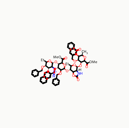 CCC1O[C@@H](O[C@@H]2C(C(=O)OC)O[C@H](C)C(OC(=O)c3ccccc3)[C@@H]2OCc2ccccc2)[C@H]2NC(=O)OC2[C@@H]1O[C@@H]1OC(C(=O)OC)[C@@H](O[C@H]2OC(CC)[C@H](OCc3ccccc3)[C@@H](OCc3ccccc3)C2N=[N+]=[N-])[C@@H](OCc2ccccc2)C1OCc1ccccc1